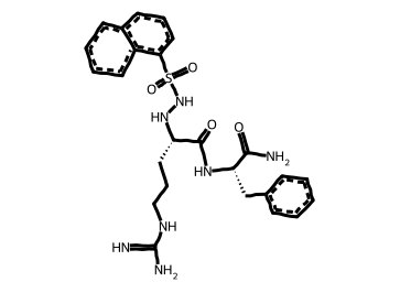 N=C(N)NCCC[C@H](NNS(=O)(=O)c1cccc2ccccc12)C(=O)N[C@@H](Cc1ccccc1)C(N)=O